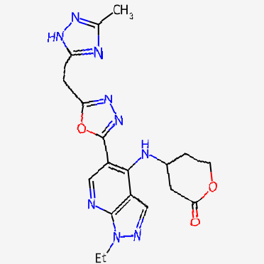 CCn1ncc2c(NC3CCOC(=O)C3)c(-c3nnc(Cc4nc(C)n[nH]4)o3)cnc21